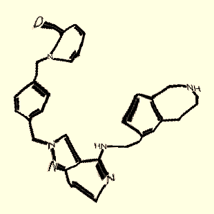 O=c1ccccn1Cc1ccc(Cn2cc3c(NCc4ccc5c(c4)CCNC5)nccc3n2)cc1